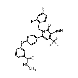 CNC(=O)c1cccc(Oc2ccc(-c3cc(C(F)(F)F)c(C#N)c(=O)n3Cc3ccc(F)cc3F)cc2)c1